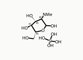 CN[C@H]1C(O)O[C@H](CO)[C@@H](O)[C@@H]1O.O[Si](O)(O)O